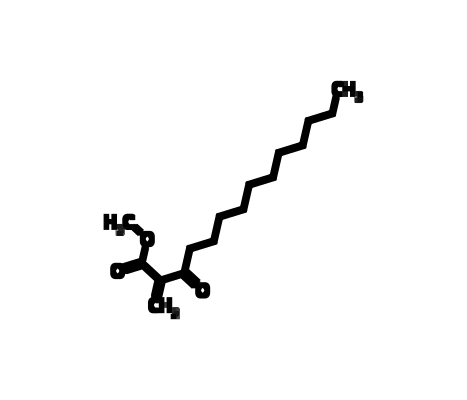 C=C(C(=O)CCCCCCCCCCC)C(=O)OC